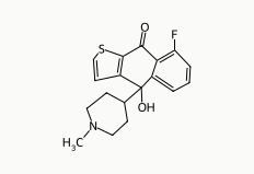 CN1CCC(C2(O)c3ccsc3C(=O)c3c(F)cccc32)CC1